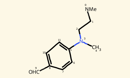 CNCCN(C)c1ccc(C=O)cc1